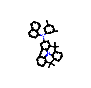 Cc1cc(C)cc(N(c2cc3c4c(c2)c2cccc5c2n4-c2c(cccc2C3(C)C)C5(C)C)c2cccc3ccccc23)c1